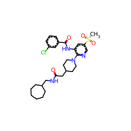 CS(=O)(=O)c1cnc(N2CCC(CC(=O)NCC3CCCCCC3)CC2)c(NC(=O)c2cccc(Cl)c2)c1